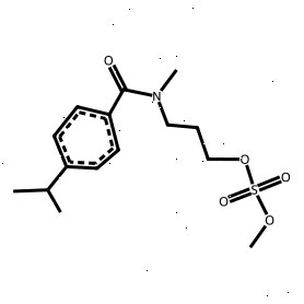 COS(=O)(=O)OCCCN(C)C(=O)c1ccc(C(C)C)cc1